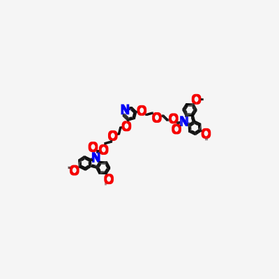 COc1ccc2c(c1)c1cc(OC)ccc1n2C(=O)OCCOCCOc1cncc(OCCOCCOC(=O)n2c3ccc(OC)cc3c3cc(OC)ccc32)c1